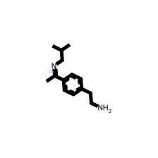 C/C(=N/CC(C)C)c1ccc(CCN)cc1